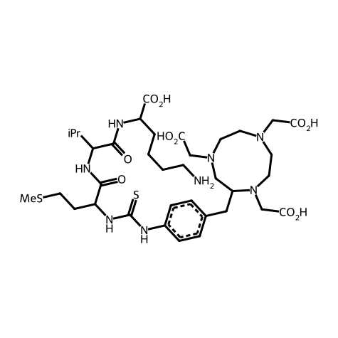 CSCCC(NC(=S)Nc1ccc(CC2CN(CC(=O)O)CCN(CC(=O)O)CCN2CC(=O)O)cc1)C(=O)NC(C(=O)NC(CCCCN)C(=O)O)C(C)C